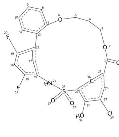 O=C1OCCCOc2ccccc2-c2cc(c(F)cc2F)NS(=O)(=O)c2cc1cc(Cl)c2O